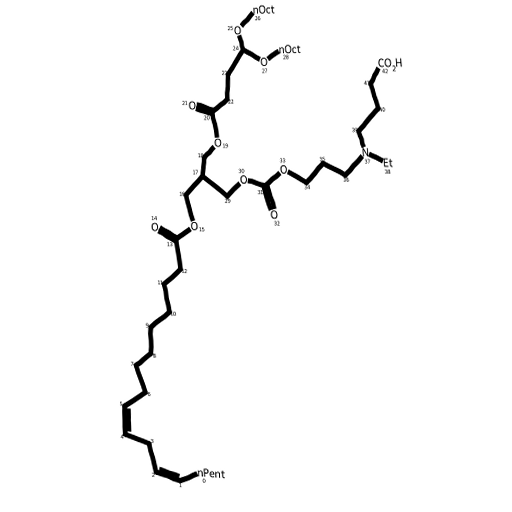 CCCCC/C=C\C/C=C\CCCCCCCC(=O)OCC(COC(=O)CCC(OCCCCCCCC)OCCCCCCCC)COC(=O)OCCCN(CC)CCCC(=O)O